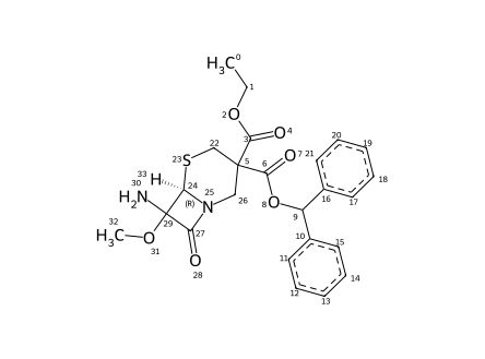 CCOC(=O)C1(C(=O)OC(c2ccccc2)c2ccccc2)CS[C@H]2N(C1)C(=O)C2(N)OC